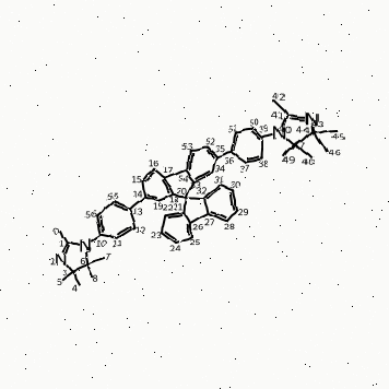 CC1=NC(C)(C)C(C)(C)N1c1ccc(-c2ccc3c(c2)C2(c4ccccc4-c4ccccc42)c2cc(-c4ccc(N5C(C)=NC(C)(C)C5(C)C)cc4)ccc2-3)cc1